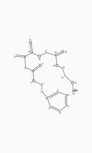 C=C(CC(=O)OCCc1ccccc1)C(=O)OCC(=O)OCCOCCC